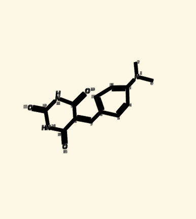 CN(C)c1ccc(C=C2C(=O)NC(=O)NC2=O)cc1